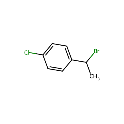 CC(Br)c1ccc(Cl)cc1